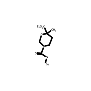 CCOC(=O)C1(C)CCN(C(=O)OC(C)(C)C)CO1